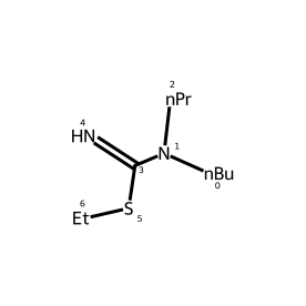 CCCCN(CCC)C(=N)SCC